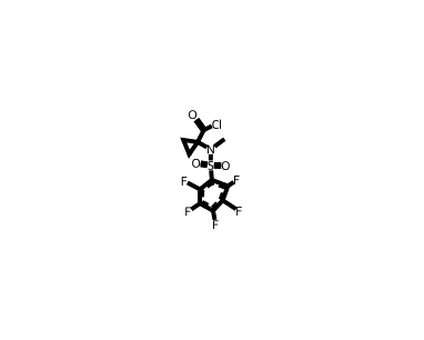 CN(C1(C(=O)Cl)CC1)S(=O)(=O)c1c(F)c(F)c(F)c(F)c1F